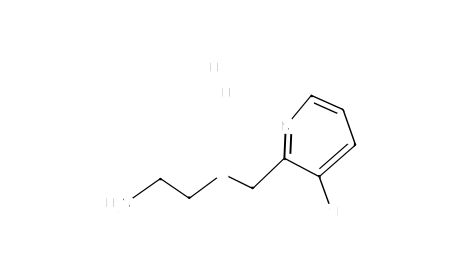 Cl.Cl.NCCSCc1ncccc1S